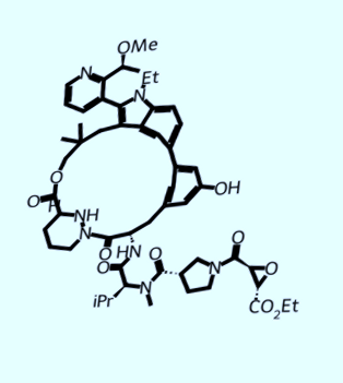 CCOC(=O)[C@H]1O[C@@H]1C(=O)N1CC[C@H](C(=O)N(C)[C@H](C(=O)N[C@H]2Cc3cc(O)cc(c3)-c3ccc4c(c3)c(c(-c3cccnc3[C@H](C)OC)n4CC)CC(C)(C)COC(=O)[C@@H]3CCCN(N3)C2=O)C(C)C)C1